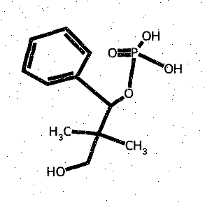 CC(C)(CO)C(OP(=O)(O)O)c1ccccc1